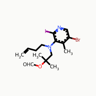 C=CCCN(CC(C)(C)OC=O)c1c(I)ncc(Br)c1C